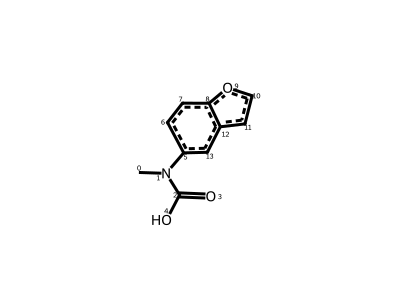 CN(C(=O)O)c1ccc2occc2c1